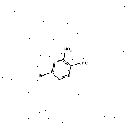 O=Cc1ncc(Br)cc1[N+](=O)[O-]